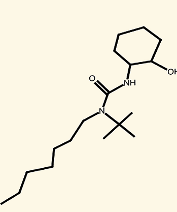 CCCCCCCN(C(=O)NC1CCCCC1O)C(C)(C)C